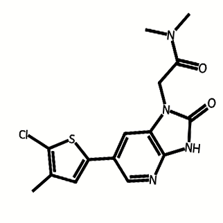 Cc1cc(-c2cnc3[nH]c(=O)n(CC(=O)N(C)C)c3c2)sc1Cl